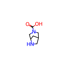 O=C(O)N1CC2CNC(C2)C1